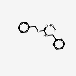 O=C(N[C@H](CO)c1ccccc1)OCc1ccccc1